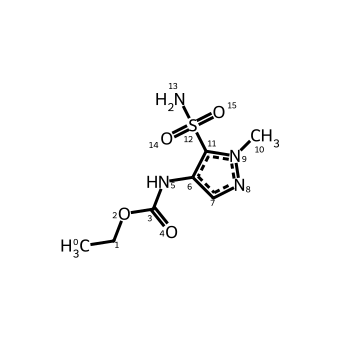 CCOC(=O)Nc1cnn(C)c1S(N)(=O)=O